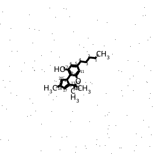 CCCCCc1cc(O)c2c(c1)OC(C)(C)C1=CC(C)=CC12